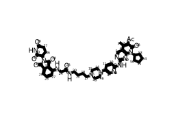 CC(=O)c1c(C)c2cnc(Nc3ccc(N4CCN(CCCCNC(=O)CNc5cccc6c5C(=O)N(C5CCC(=O)NC5=O)C6=O)CC4)cn3)nc2n(C2CCCC2)c1=O